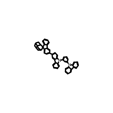 c1cc(-n2c3ccccc3c3ccccc32)cc(-n2c3ccccc3c3cc(-c4ccc5c(c4)-c4ccccc4C54C5CC6CC(C5)CC4C6)ccc32)c1